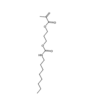 C=C(C)C(=O)OCCCOC(=O)NCCCCCCCC